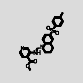 COC(=O)c1ccncc1NC[C@H]1CCCc2cc(S(=O)(=O)c3ccc(C)cc3)ccc21